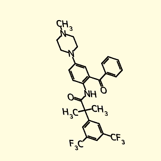 CN1CCN(c2ccc(NC(=O)C(C)(C)c3cc(C(F)(F)F)cc(C(F)(F)F)c3)c(C(=O)c3ccccc3)c2)CC1